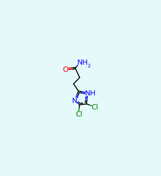 NC(=O)CCc1nc(Cl)c(Cl)[nH]1